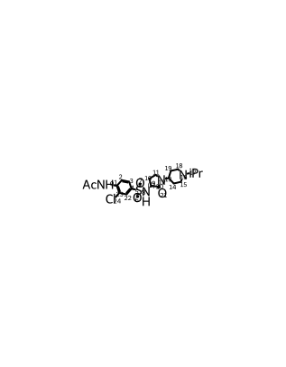 CC(=O)Nc1ccc(S(=O)(=O)N[C@H]2CCN(C3CCN(C(C)C)CC3)C2=O)cc1Cl